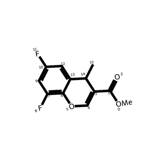 COC(=O)C1=COc2c(F)cc(F)cc2C1C